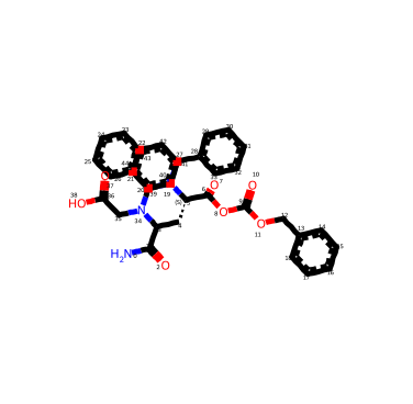 NC(=O)C(C[C@@H](C(=O)OC(=O)OCc1ccccc1)N(Cc1ccccc1)Cc1ccccc1)N(CC(=O)O)c1ccccc1